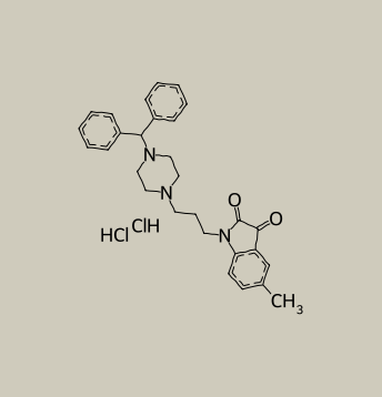 Cc1ccc2c(c1)C(=O)C(=O)N2CCCN1CCN(C(c2ccccc2)c2ccccc2)CC1.Cl.Cl